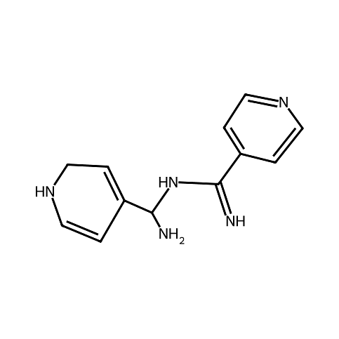 N=C(NC(N)C1=CCNC=C1)c1ccncc1